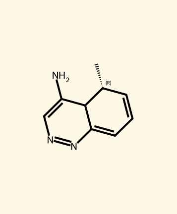 C[C@@H]1C=CC=C2N=NC=C(N)C21